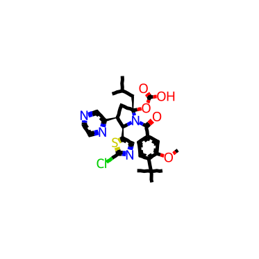 COc1cc(C(=O)N2[C@@H](c3cnc(Cl)s3)[C@@H](c3cnccn3)C[C@]2(CC(C)C)OC(=O)O)ccc1C(C)(C)C